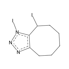 IC1CCCCCc2nnn(I)c21